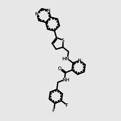 O=C(NCc1ccc(F)c(F)c1)c1cccnc1NCC1CC=C(c2ccc3ncncc3c2)S1